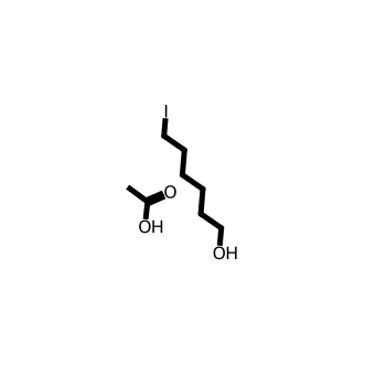 CC(=O)O.OCCCCCCI